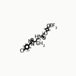 C=C(CCNC(=O)CO[C@H]1C[C@@H](OC(F)(F)F)C1)c1nc(-c2ccc(Cl)cc2)no1